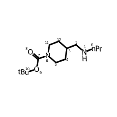 CCCNCC1CCN(C(=O)OC(C)(C)C)CC1